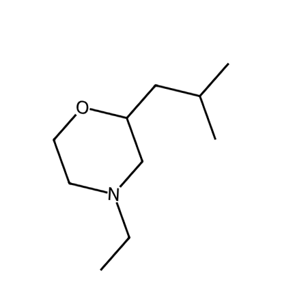 CCN1CCOC(CC(C)C)C1